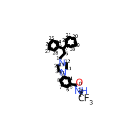 O=C(NCC(F)(F)F)c1cccc(N2CCN(CCC(c3ccccc3)c3ccccc3)CC2)c1